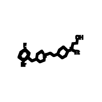 CCN(CCO)C1CCC(CCN2CCC(Cc3cc(F)ccc3Br)CC2)CC1